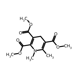 COC(=O)C1=C(C)N(C)C(C(=O)OC)=C(C(=O)OC)C1